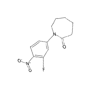 O=C1CCCCCN1c1ccc([N+](=O)[O-])c(F)c1